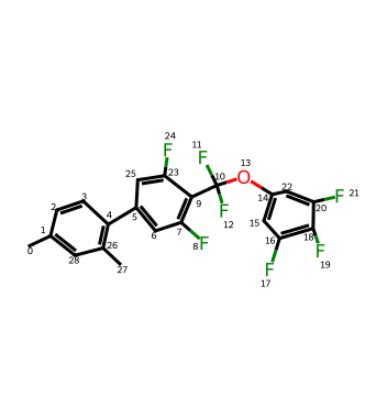 Cc1ccc(-c2cc(F)c(C(F)(F)Oc3cc(F)c(F)c(F)c3)c(F)c2)c(C)c1